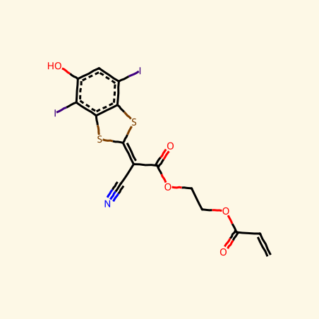 C=CC(=O)OCCOC(=O)/C(C#N)=C1\Sc2c(I)cc(O)c(I)c2S1